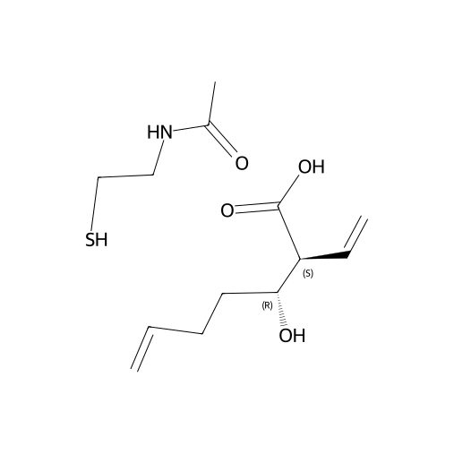 C=CCC[C@@H](O)[C@H](C=C)C(=O)O.CC(=O)NCCS